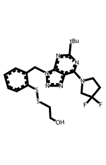 CC(C)(C)c1nc(N2CCC(F)(F)C2)c2nnn(Cc3ccccc3SSCCO)c2n1